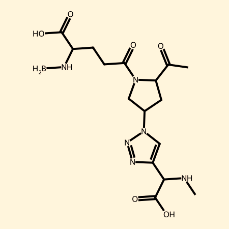 BNC(CCC(=O)N1CC(n2cc(C(NC)C(=O)O)nn2)CC1C(C)=O)C(=O)O